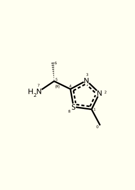 Cc1nnc([C@@H](C)N)s1